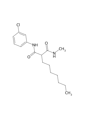 CCCCCCCC(C(=O)NC)C(=O)Nc1cccc(Cl)c1